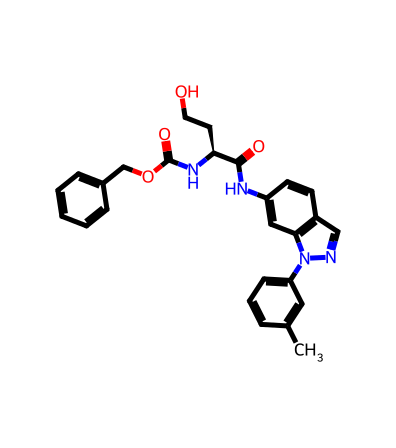 Cc1cccc(-n2ncc3ccc(NC(=O)[C@H](CCO)NC(=O)OCc4ccccc4)cc32)c1